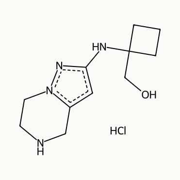 Cl.OCC1(Nc2cc3n(n2)CCNC3)CCC1